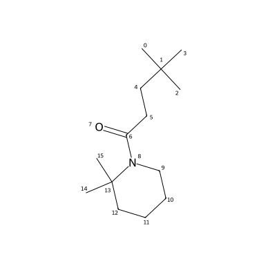 CC(C)(C)CCC(=O)N1CCCCC1(C)C